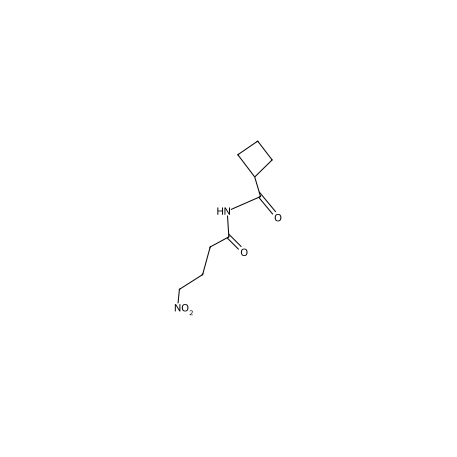 O=C(CCC[N+](=O)[O-])NC(=O)C1CCC1